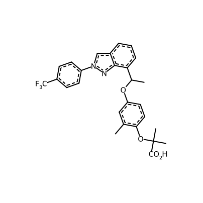 Cc1cc(OC(C)c2cccc3cn(-c4ccc(C(F)(F)F)cc4)nc23)ccc1OC(C)(C)C(=O)O